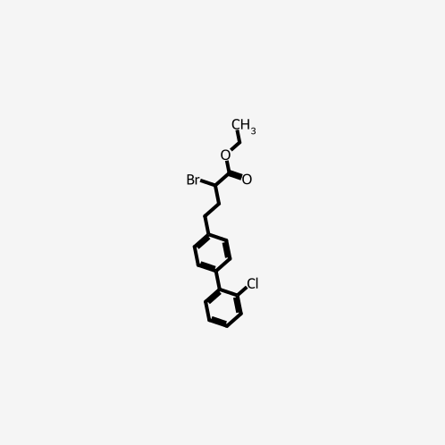 CCOC(=O)C(Br)CCc1ccc(-c2ccccc2Cl)cc1